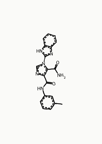 Cc1cccc(NC(=O)c2ncn(-c3nc4ccccc4[nH]3)c2C(N)=O)c1